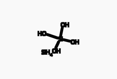 O[Si](O)(O)O.[SiH4]